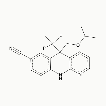 CC(C)OCC1(C(C)(F)F)c2cc(C#N)ccc2Nc2ncccc21